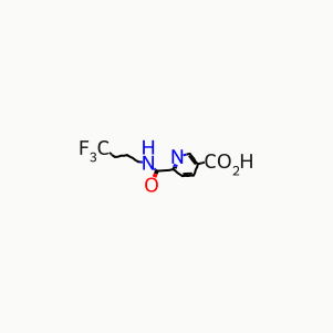 O=C(O)c1ccc(C(=O)NCCCC(F)(F)F)nc1